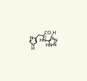 O=C(O)[C@H](Cc1c[nH]cn1)Nc1nnn[nH]1